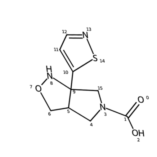 O=C(O)N1CC2CONC2(c2ccns2)C1